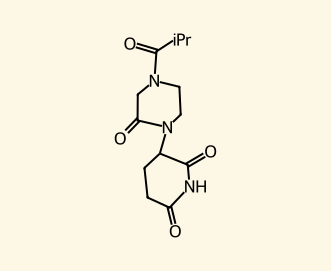 CC(C)C(=O)N1CCN(C2CCC(=O)NC2=O)C(=O)C1